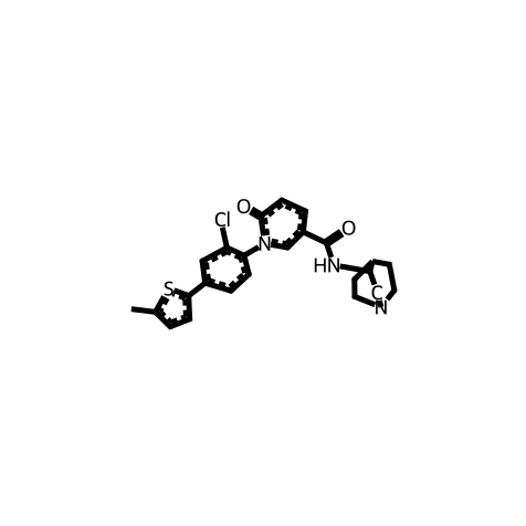 Cc1ccc(-c2ccc(-n3cc(C(=O)NC4CN5CCC4CC5)ccc3=O)c(Cl)c2)s1